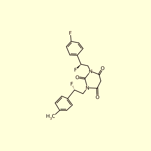 Cc1ccc([C@H](F)CN2C(=O)CC(=O)N(C[C@@H](F)c3ccc(F)cc3)C2=O)cc1